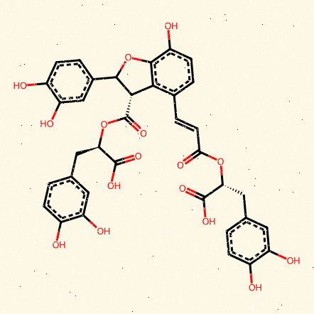 O=C(/C=C/c1ccc(O)c2c1[C@H](C(=O)O[C@H](Cc1ccc(O)c(O)c1)C(=O)O)C(c1ccc(O)c(O)c1)O2)O[C@H](Cc1ccc(O)c(O)c1)C(=O)O